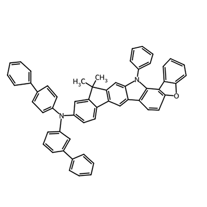 CC1(C)c2cc(N(c3ccc(-c4ccccc4)cc3)c3cccc(-c4ccccc4)c3)ccc2-c2cc3c4ccc5oc6ccccc6c5c4n(-c4ccccc4)c3cc21